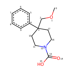 COCC1(c2ccccc2)CCN(C(=O)O)CC1